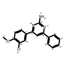 COc1ccc(-c2cc(-c3ccccc3)nc(N)n2)cc1Cl